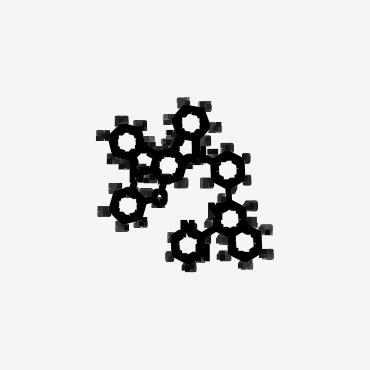 c1cnc(-c2nc(-c3cccc(-n4c5ccccc5c5c6c7ccccc7n7c6c(cc54)Oc4ccccc4-7)c3)cc3ccccc23)nc1